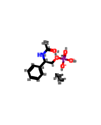 CCC(=O)N[C@@H](COP(=O)([O-])[O-])c1ccccc1.[Na+].[Na+]